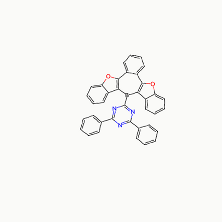 c1ccc(-c2nc(B3c4c(oc5ccccc45)-c4ccccc4-c4oc5ccccc5c43)nc(-c3ccccc3)n2)cc1